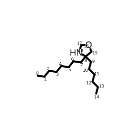 CCCCCCCCC1(CCCCCC)COCN1